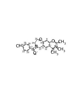 CC(=O)N(C)[C@H](C)c1ccc2c(c1)CN([S+]([O-])c1ccc(Cl)cc1)CCO2